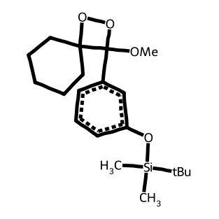 COC1(c2cccc(O[Si](C)(C)C(C)(C)C)c2)OOC12CCCCC2